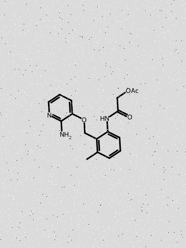 CC(=O)OCC(=O)Nc1cccc(C)c1COc1cccnc1N